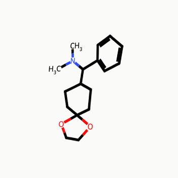 CN(C)C(c1ccccc1)C1CCC2(CC1)OCCO2